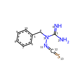 N=C(N)N(Cc1ccccc1)N=C=S